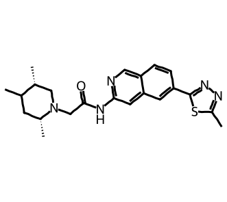 Cc1nnc(-c2ccc3cnc(NC(=O)CN4C[C@@H](C)C(C)C[C@H]4C)cc3c2)s1